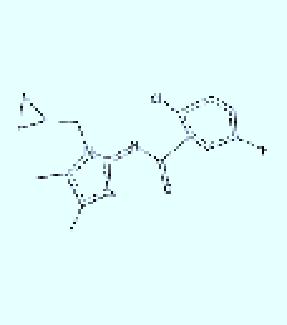 Cc1s/c(=N\C(=O)c2cc(F)ccc2Cl)n(CC2CC2)c1C